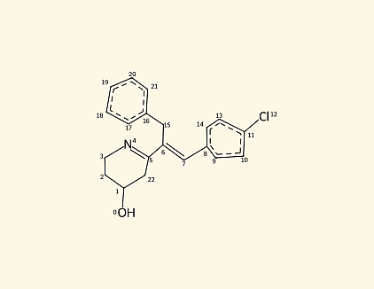 OC1CCN=C(/C(=C/c2ccc(Cl)cc2)Cc2ccccc2)C1